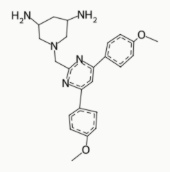 COc1ccc(-c2cc(-c3ccc(OC)cc3)nc(CN3CC(N)CC(N)C3)n2)cc1